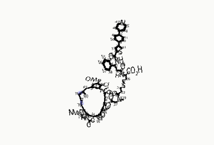 COc1cc2cc(c1Cl)N(C)C(=O)C[C@@H](OC(=O)CN(C)C(=O)CCSSCC(NC(=O)CC(NC(=O)c1cc(-c3ccc(-c4ccncc4)cc3)cs1)c1ccccc1)C(=O)O)[C@]1(C)O[C@H]1[C@@H](C)C1C[C@](O)(NC(=O)O1)[C@@H](OC)/C=C/C=C(\C)C2